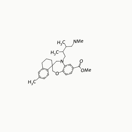 CNCC(C)C(C)CN1CC2(CCCc3cc(C)ccc32)COc2ccc(C(=O)OC)cc21